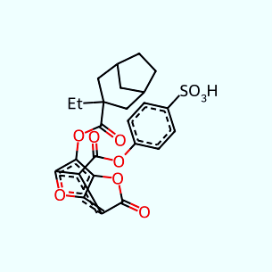 CCC1(C(=O)Oc2c3c4oc2c(C(=O)Oc2ccc(S(=O)(=O)O)cc2)c4C(=O)O3)CC2CCC(C2)C1